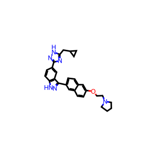 c1cc2cc(-c3n[nH]c4ccc(-c5n[nH]c(CC6CC6)n5)cc34)ccc2cc1OCCN1CCCC1